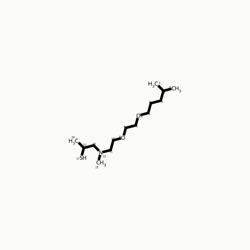 CC(C)CCCOCCOCCN(C)CC(C)S